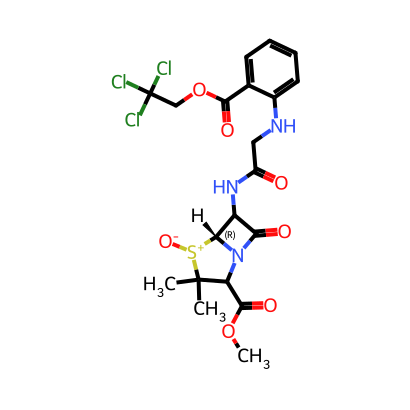 COC(=O)C1N2C(=O)C(NC(=O)CNc3ccccc3C(=O)OCC(Cl)(Cl)Cl)[C@H]2[S+]([O-])C1(C)C